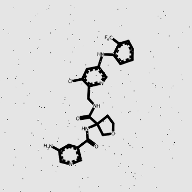 Nc1cncc(C(=O)NC2(C(=O)NCc3ncc(Nc4ccccc4C(F)(F)F)cc3Cl)CCOC2)c1